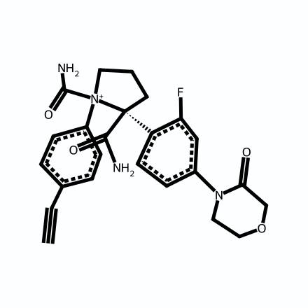 C#Cc1ccc([N+]2(C(N)=O)CCC[C@]2(C(N)=O)c2ccc(N3CCOCC3=O)cc2F)cc1